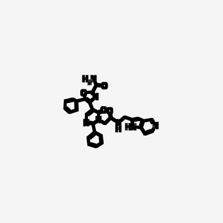 NC(=O)c1nc(-c2cnc(-c3ccccc3)n(CC(=O)NCc3cc4cnccc4[nH]3)c2=O)c(-c2ccccc2)o1